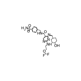 NS(=O)(=O)c1ccc(CNC(=O)c2cnc(NCCOC(F)F)nc2/N=C\C2CCC(O)CC2)cc1